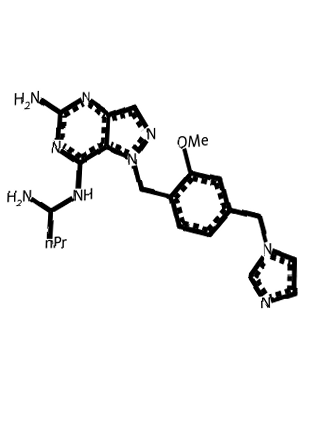 CCCC(N)Nc1nc(N)nc2cnn(Cc3ccc(Cn4ccnc4)cc3OC)c12